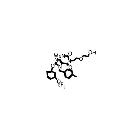 CNC(=O)N(CCOCCO)C(=O)c1cnc(Oc2cccc(OC(F)(F)F)c2)n1Cc1ccc(C)cc1